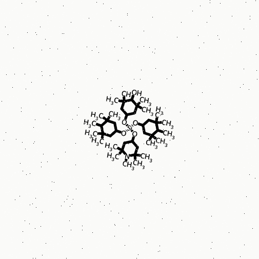 CC1C(C)(C)CC(O[Si](OC2CC(C)(C)C(C)C(C)(C)C2)(OC2CC(C)(C)C(O)C(C)(C)C2)OC2CC(C)(C)N(C)C(C)(C)C2)CC1(C)C